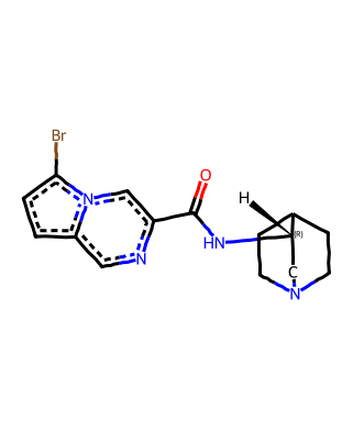 O=C(N[C@H]1CN2CCC1CC2)c1cn2c(Br)ccc2cn1